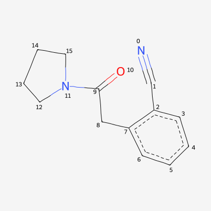 N#Cc1ccccc1CC(=O)N1CCCC1